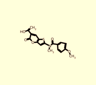 C=C(O)c1cc2sc(N(C)C(=O)c3ccc(OC)cc3)cc2oc1=O